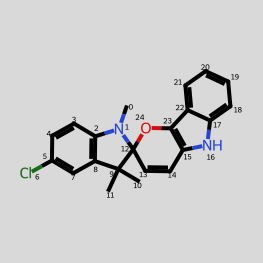 CN1c2ccc(Cl)cc2C(C)(C)C12C=Cc1[nH]c3ccccc3c1O2